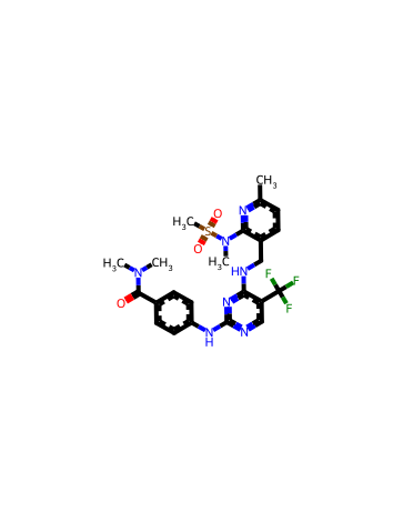 Cc1ccc(CNc2nc(Nc3ccc(C(=O)N(C)C)cc3)ncc2C(F)(F)F)c(N(C)S(C)(=O)=O)n1